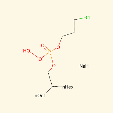 CCCCCCCCC(CCCCCC)COP(=O)(OO)OCCCCl.[NaH]